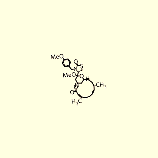 COc1ccc(CN2C(=O)SC[C@H]2[C@@]2(OC)C[C@H]3C[C@@H](CC[C@H](C)/C=C\CC/C(C)=C\C(=O)O3)O2)cc1